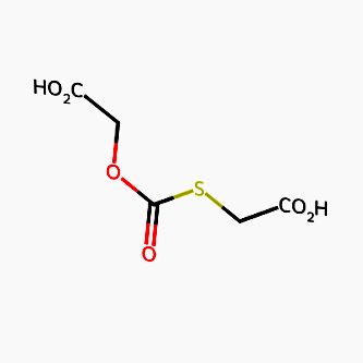 O=C(O)COC(=O)SCC(=O)O